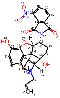 C=CCN1CC2[C@@H]1[C@]1(O)CC[C@@H](N3C(=O)c4cccc([N+](=O)[O-])c4C3=O)[C@@H]3Oc4c(O)ccc(C)c4[C@@]231